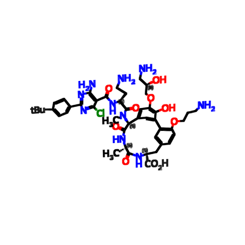 C[C@@H]1NC(=O)[C@@H](N(C)C(=O)[C@H](CCN)NC(=O)c2c(N)nc(-c3ccc(C(C)(C)C)cc3)nc2Cl)c2cc(OC[C@H](O)CN)c(O)c(c2)-c2cc(ccc2OCCCN)C[C@@H](C(=O)O)NC1=O